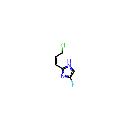 Fc1c[nH]c(/C=C\CCl)n1